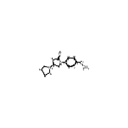 COc1ccc(N2CC(N3CCCC3)CC2=O)cc1